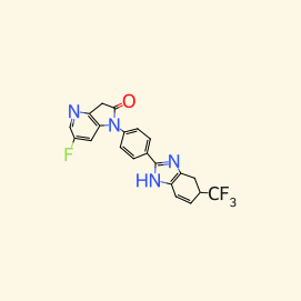 O=C1Cc2ncc(F)cc2N1c1ccc(-c2nc3c([nH]2)C=CC(C(F)(F)F)C3)cc1